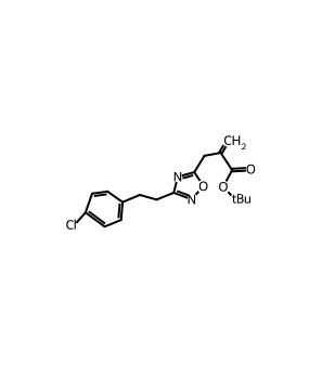 C=C(Cc1nc(CCc2ccc(Cl)cc2)no1)C(=O)OC(C)(C)C